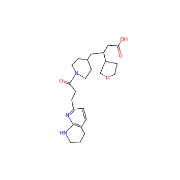 O=C(O)CC(CC1CCN(C(=O)CCc2ccc3c(n2)NCCC3)CC1)C1CCOC1